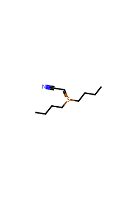 CCCCS(=CC#N)CCCC